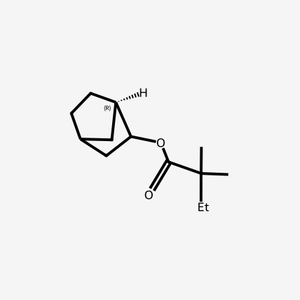 CCC(C)(C)C(=O)OC1CC2CC[C@@H]1C2